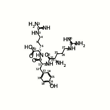 N=C(N)NCCC[C@H](NC(=O)[C@H](Cc1ccc(O)cc1)NC(=O)[C@@H](N)CCCNC(=N)N)C(=O)O